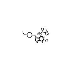 C[C@@H](Nc1nc(Cl)nc2ncn(CC3CCC(CI)CC3)c12)C1CCC1